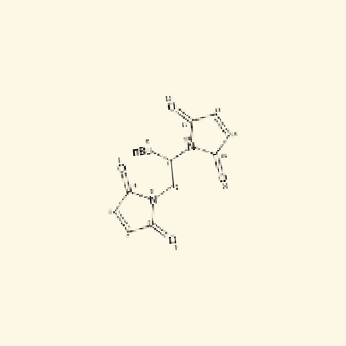 CCCCC([CH]N1C(=O)C=CC1=O)N1C(=O)C=CC1=O